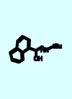 CC(C)(C)NCC(O)c1cccc2ccccc12